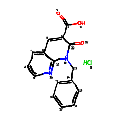 Cl.O=C(O)c1cc2cccnc2n(Cc2ccccc2)c1=O